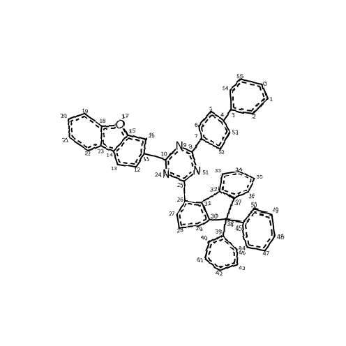 c1ccc(-c2ccc(-c3nc(-c4ccc5c(c4)oc4ccccc45)nc(-c4cccc5c4-c4ccccc4C5(c4ccccc4)c4ccccc4)n3)cc2)cc1